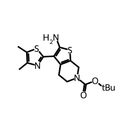 Cc1nc(-c2c(N)sc3c2CCN(C(=O)OC(C)(C)C)C3)sc1C